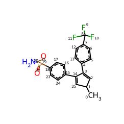 CC1C=C(c2ccc(C(F)(F)F)cc2)C(c2ccc(S(N)(=O)=O)cc2)=C1